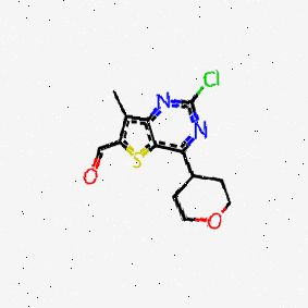 Cc1c(C=O)sc2c(C3CCOCC3)nc(Cl)nc12